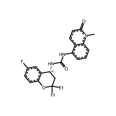 CCC1(CC)C[C@@H](NC(=O)Nc2cccc3c2ccc(=O)n3C)c2cc(F)ccc2O1